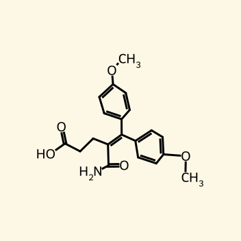 COc1ccc(C(=C(CCC(=O)O)C(N)=O)c2ccc(OC)cc2)cc1